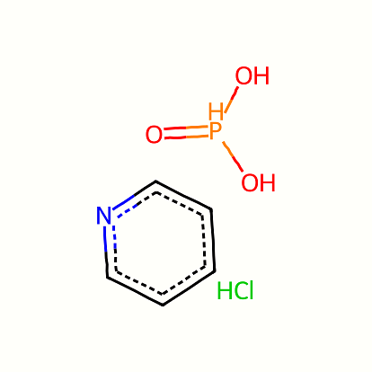 Cl.O=[PH](O)O.c1ccncc1